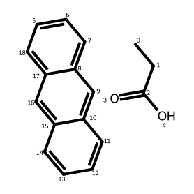 CCC(=O)O.c1ccc2cc3ccccc3cc2c1